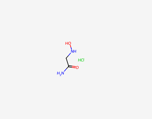 Cl.NC(=O)CNO